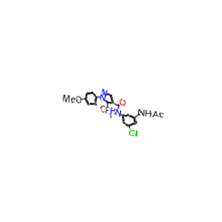 COc1ccc(-n2ncc(C(=O)Nc3cc(Cl)cc(NC(C)=O)c3)c2C(F)(F)F)cc1